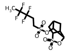 CC(F)(F)C(F)(F)CCS(=O)(=O)OC1C2CC3C1OS(=O)(=O)C3C2